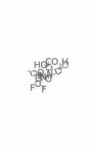 Cc1ccc(S(=O)(=O)N(CC(=O)N(Cc2ccc(C3CCCCC3)cc2)c2ccc(C(=O)O)c(O)c2)Cc2ccc(F)cc2CF)cc1